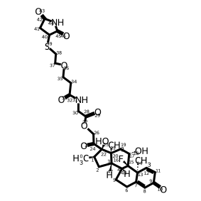 C[C@@H]1C[C@H]2[C@@H]3CCC4=CC(=O)C=C[C@]4(C)[C@@]3(F)[C@@H](O)C[C@]2(C)[C@@]1(O)C(=O)COC(=O)CNC(=O)CCOCCSC1CC(=O)NC1=O